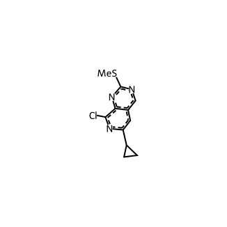 CSc1ncc2cc(C3CC3)nc(Cl)c2n1